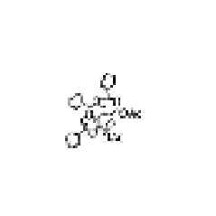 CC(=O)OCC1O[C@H](OC(C)=O)[C@@H](OC(=O)c2ccccc2)[C@H](OC(=O)c2ccccc2)C1OC(=O)c1ccccc1